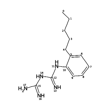 CCCCCc1ccccc1NC(=N)NC(=N)N